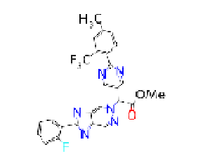 COC(=O)C(c1cnc(-c2ccc(C)cc2C(F)(F)F)nc1)n1cc2nc(-c3ccccc3F)nc-2cn1